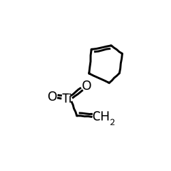 C1=CCCCC1.C=[CH][Ti](=[O])=[O]